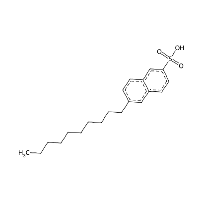 CCCCCCCCCCc1ccc2cc(S(=O)(=O)O)ccc2c1